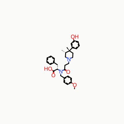 COc1ccc(CN(C(=O)CCN2CC[C@@](C)(c3cccc(O)c3)[C@@H](C)C2)[C@@H](Cc2ccccc2)C(=O)O)cc1